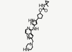 CC1(NC(=O)OC2CCC(c3cc(Nc4nccn5nc(CN6CCNCC6)cc45)n[nH]3)C2)CC1